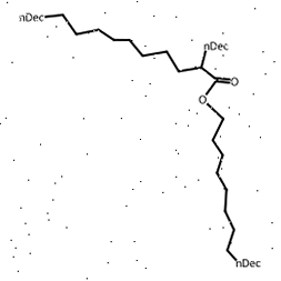 CCCCCCCCCCCCCCCCCCOC(=O)C(CCCCCCCCCC)CCCCCCCCCCCCCCCCCC